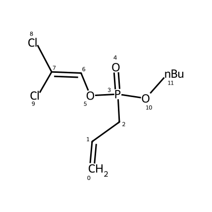 C=CCP(=O)(OC=C(Cl)Cl)OCCCC